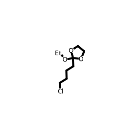 CCOC1(CCCCCl)OCCO1